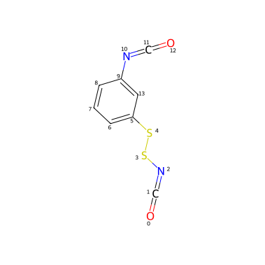 O=C=NSSc1cccc(N=C=O)c1